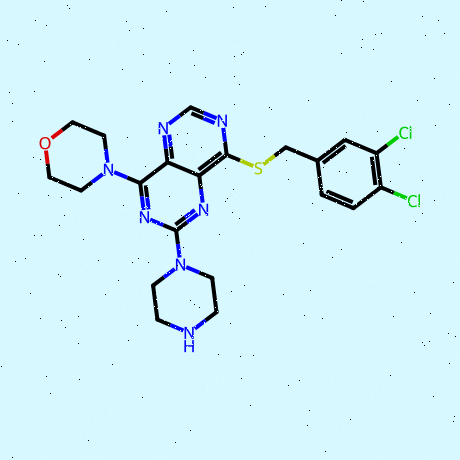 Clc1ccc(CSc2ncnc3c(N4CCOCC4)nc(N4CCNCC4)nc23)cc1Cl